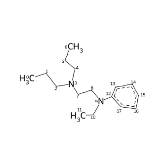 CCCN(CCC)CCN(CC)c1ccccc1